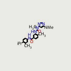 CNc1cc(N(C)C(=O)Nc2cc(C(=O)Nc3ccc(C(C)C)c(C)c3)ccc2C)ncn1